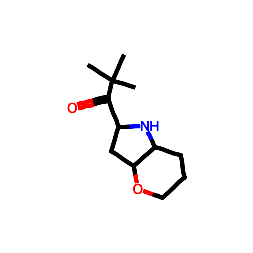 CC(C)(C)C(=O)C1CC2OCCCC2N1